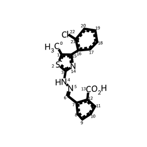 Cc1sc(N/N=C/c2ccccc2C(=O)O)nc1-c1ccccc1Cl